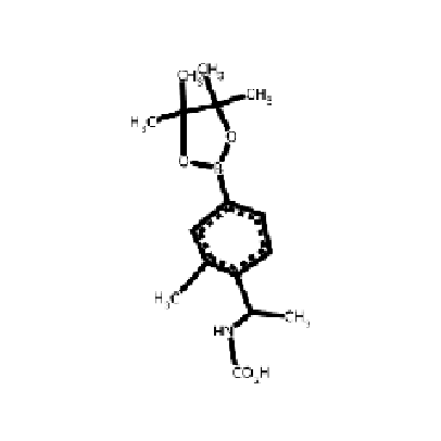 Cc1cc(B2OC(C)(C)C(C)(C)O2)ccc1C(C)NC(=O)O